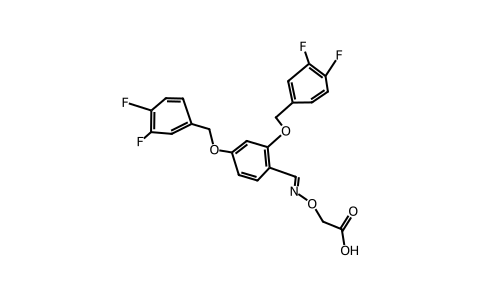 O=C(O)CON=Cc1ccc(OCc2ccc(F)c(F)c2)cc1OCc1ccc(F)c(F)c1